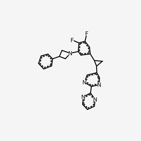 Fc1cc(C2CC2c2cnc(-c3ncccn3)nc2)cc(N2CC(c3ccccc3)C2)c1F